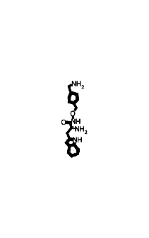 NCc1ccc(CONC(=O)[C@H](N)Cc2cc3ccccc3[nH]2)cc1